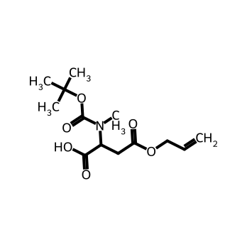 C=CCOC(=O)CC(C(=O)O)N(C)C(=O)OC(C)(C)C